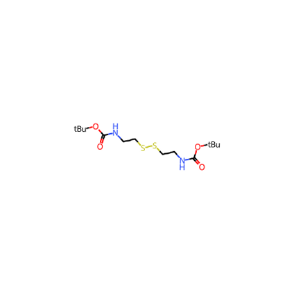 CC(C)(C)OC(=O)NCCSSCCNC(=O)OC(C)(C)C